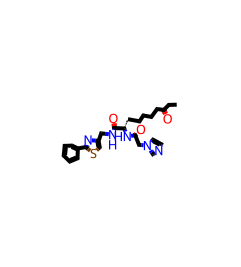 CCC(=O)CCCCC[C@H](NC(=O)Cn1ccnc1)C(=O)NCc1csc(-c2ccccc2)n1